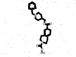 CC(C)(C)OC(=O)N1CCC2=CCC(C(=O)OCC3CCN(Cc4ccccc4)CC3)C=C2CC1